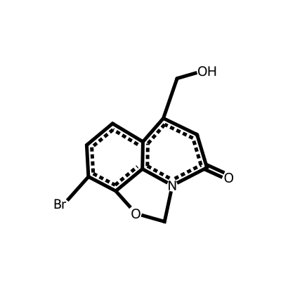 O=c1cc(CO)c2ccc(Br)c3c2n1CO3